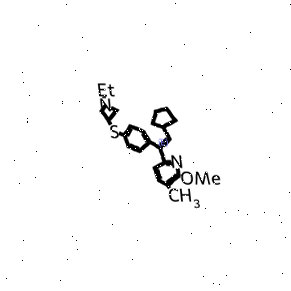 CCN1CC(Sc2ccc(/C(=C\C3CCCC3)c3ccc(C)c(OC)n3)cc2)C1